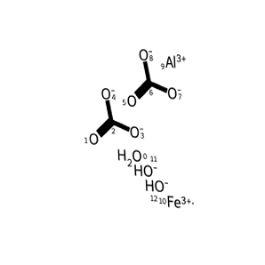 O.O=C([O-])[O-].O=C([O-])[O-].[Al+3].[Fe+3].[OH-].[OH-]